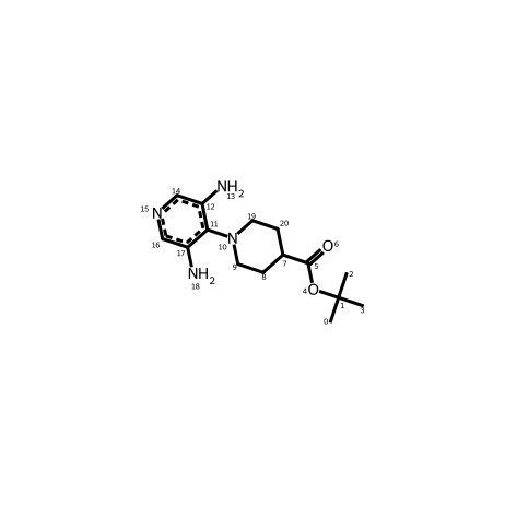 CC(C)(C)OC(=O)C1CCN(c2c(N)cncc2N)CC1